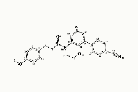 COc1ccc(CCC(=O)N2CCOc3c(-c4ccc(C#N)cc4)cncc32)cc1